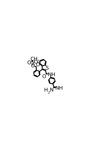 CS(=O)(=O)OC(=O)c1ccccc1-c1c(C(=O)Nc2ccc(C(=N)N)cc2)sc2ccccc12